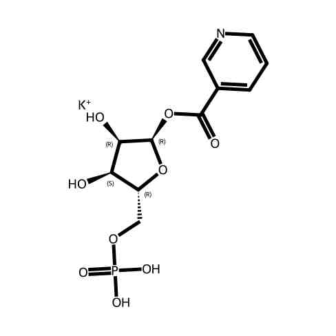 O=C(O[C@H]1O[C@H](COP(=O)(O)O)[C@@H](O)[C@H]1O)c1cccnc1.[K+]